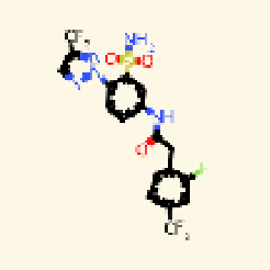 NS(=O)(=O)c1cc(NC(=O)Cc2ccc(C(F)(F)F)cc2F)ccc1-n1ncc(C(F)(F)F)n1